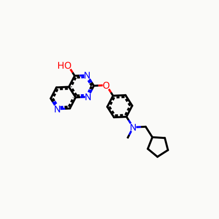 CN(CC1CCCC1)c1ccc(Oc2nc(O)c3ccncc3n2)cc1